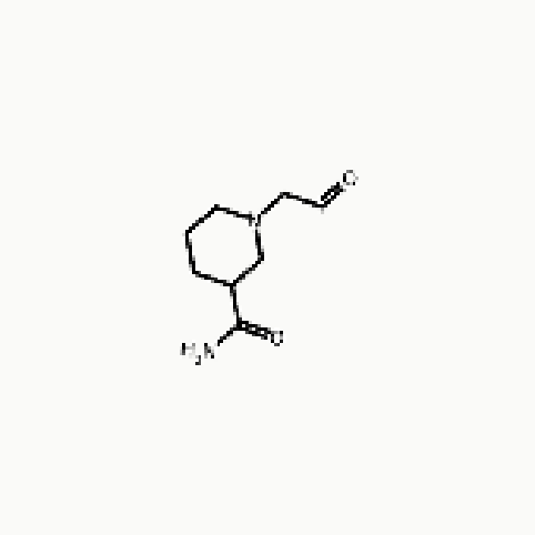 NC(=O)C1CCCN(C[C]=O)C1